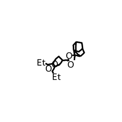 CCC1OC(CC)C2C3OC(CC3C(=O)OC3(C)C4CC5CC(C4)CC3C5)C12